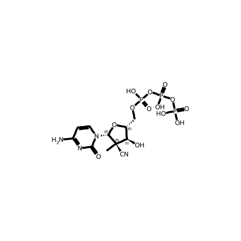 C[C@@]1(C#N)[C@H](O)[C@@H](COP(=O)(O)OP(=O)(O)OP(=O)(O)O)O[C@H]1n1ccc(N)nc1=O